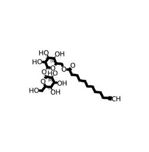 C#CCCCCCCCCCC(=O)OCC1O[C@H](O[C@H]2OC(CO)[C@@H](O)C(O)[C@H]2O)C(O)[C@@H](O)[C@@H]1O